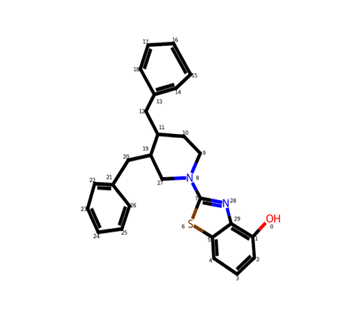 Oc1cccc2sc(N3CCC(Cc4ccccc4)C(Cc4ccccc4)C3)nc12